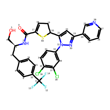 O=C(N[C@H](CO)Cc1ccc(C(F)(F)F)cc1)C1=CCC(c2cc(-c3cccnc3)nn2-c2ccc(Cl)c(Cl)c2)S1